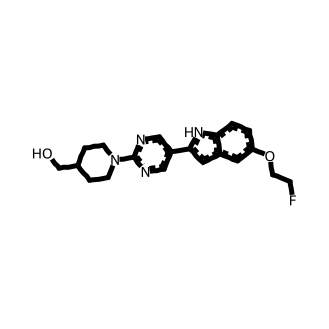 OCC1CCN(c2ncc(-c3cc4cc(OCCF)ccc4[nH]3)cn2)CC1